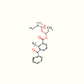 C=C(C)C(O)OC(CC)OC(=O)c1cccc(C(=O)c2ccccc2)c1C